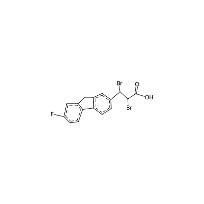 O=C(O)C(Br)C(Br)c1ccc2c(c1)Cc1cc(F)ccc1-2